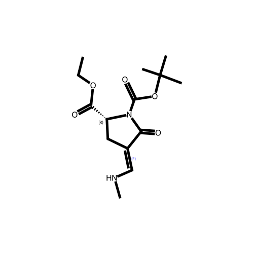 CCOC(=O)[C@H]1C/C(=C\NC)C(=O)N1C(=O)OC(C)(C)C